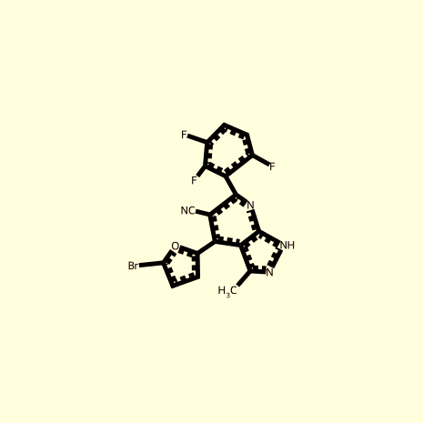 Cc1n[nH]c2nc(-c3c(F)ccc(F)c3F)c(C#N)c(-c3ccc(Br)o3)c12